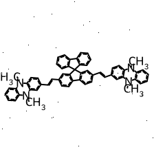 CN1c2ccccc2N(C)c2cc(/C=C/c3ccc4c(c3)C3(c5ccccc5-c5ccccc53)c3cc(/C=C/c5ccc6c(c5)N(C)c5ccccc5N6C)ccc3-4)ccc21